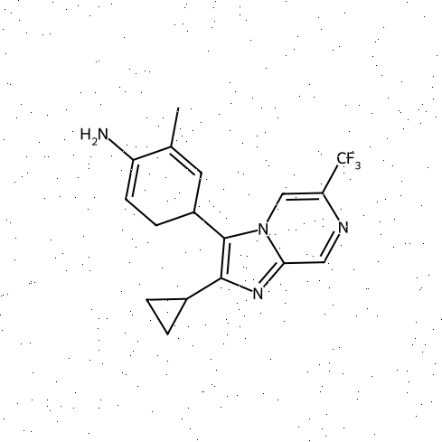 CC1=CC(c2c(C3CC3)nc3cnc(C(F)(F)F)cn23)CC=C1N